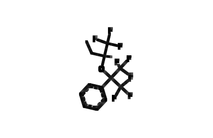 CCC(C)(OC(c1ccccc1)(C(F)(F)F)C(F)(F)F)C(F)(F)F